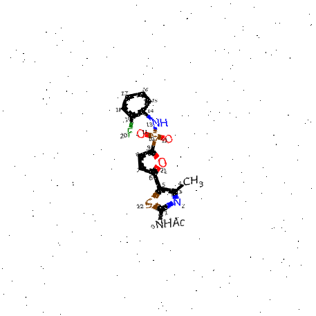 CC(=O)Nc1nc(C)c(-c2ccc(S(=O)(=O)Nc3ccccc3F)o2)s1